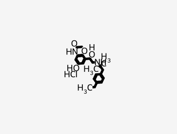 CCc1ccc(CC(C)(C)NCC(O)c2cc(O)cc3c2OCC(=O)N3)cc1.Cl